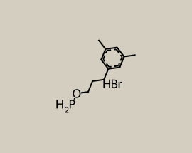 Br.Cc1cc(C)cc(CCCOP)c1